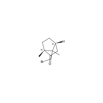 CC1(CBr)[C@@H]2CC[C@@]1(C)C(=O)C2